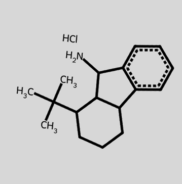 CC(C)(C)C1CCCC2c3ccccc3C(N)C21.Cl